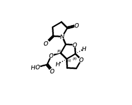 O=C(O)O[C@H]1C(N2C(=O)CCC2=O)O[C@H]2OCC[C@H]21